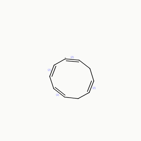 [C]1=C/C/C=C\C\C=C/C=C\1